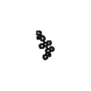 c1ccc2c(c1)oc1cc(-c3c4ccccc4c(-c4cc5c6ccccc6oc5c5ccccc45)c4ccccc34)ccc12